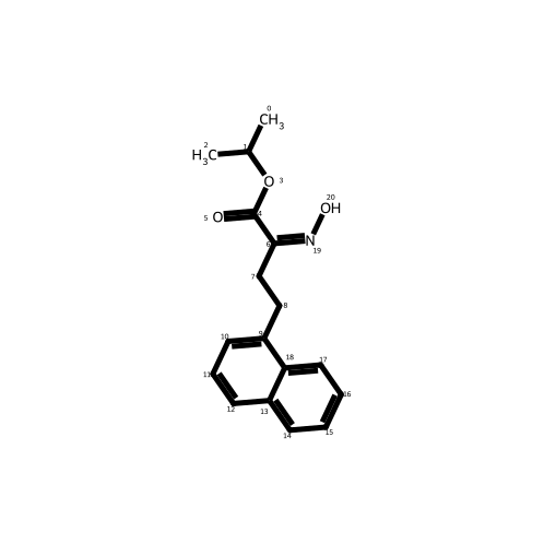 CC(C)OC(=O)C(CCc1cccc2ccccc12)=NO